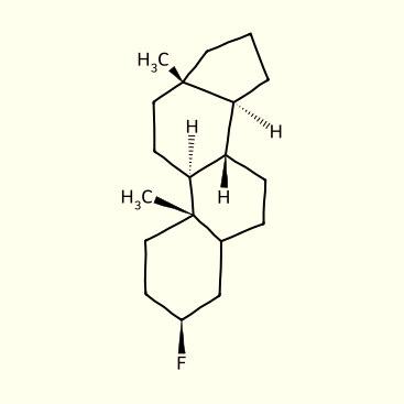 C[C@@]12CCC[C@H]1[C@@H]1CCC3C[C@@H](F)CC[C@]3(C)[C@H]1CC2